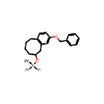 CC(C)[Si](OC1CCCCc2ccc(OCc3ccccc3)cc2C1)(C(C)C)C(C)C